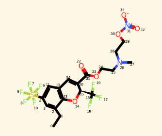 CCc1cc(S(F)(F)(F)(F)F)cc2c1O[C@H](C(F)(F)F)C(C(=O)OCCN(C)CCO[N+](=O)[O-])=C2